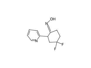 O/N=C1\CCC(F)(F)CC1c1ccccn1